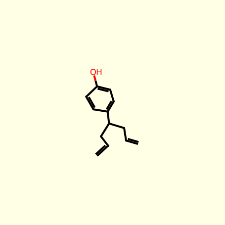 C=CCC(CC=C)c1ccc(O)cc1